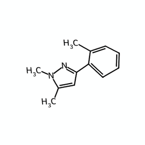 Cc1ccccc1-c1cc(C)n(C)n1